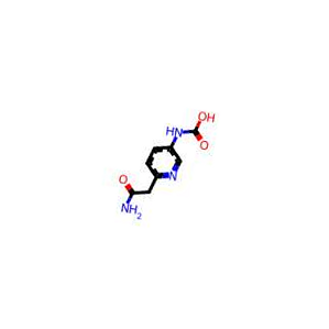 NC(=O)Cc1ccc(NC(=O)O)cn1